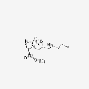 Cc1ncc([N+](=O)[O-])n1CC(O)CNCCF.Cl